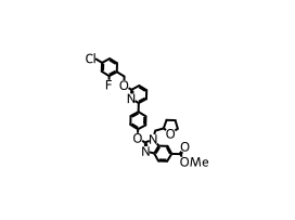 COC(=O)c1ccc2nc(Oc3ccc(-c4cccc(OCc5ccc(Cl)cc5F)n4)cc3)n(CC3CCCO3)c2c1